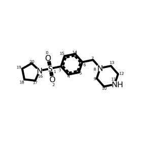 O=S(=O)(c1ccc(CN2CCNCC2)cc1)N1CCCC1